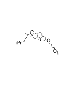 C=COCCCCOC1CCC2(C)C(=CCC3C2CCC2(C)C(C(C)CCCC(C)C)CCC32)C1